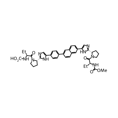 CC[C@H](NC(=O)O)C(=O)N1CCC[C@H]1c1ncc(-c2ccc(-c3ccc4cc(-c5cnc([C@@H]6CCCN6C(=O)[C@H](CC)NC(=O)OC)[nH]5)ccc4c3)cc2)[nH]1